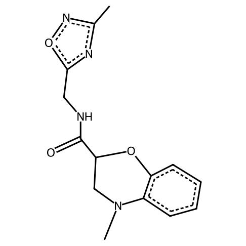 Cc1noc(CNC(=O)C2CN(C)c3ccccc3O2)n1